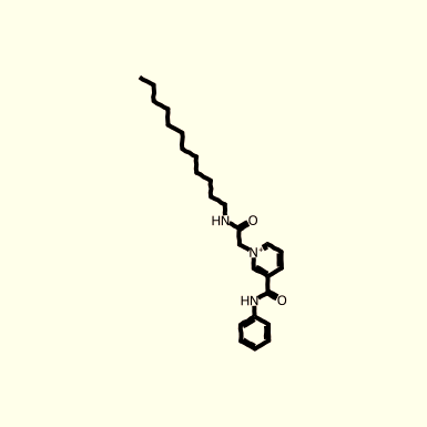 CCCCCCCCCCCCNC(=O)C[n+]1cccc(C(=O)Nc2ccccc2)c1